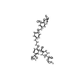 COC(=O)c1ccc(OCCCc2ccc(OCc3ccc(OC(F)(F)F)c(Cl)c3)cc2)c(C(=O)N2CCC(C(=O)OC)CC2)c1